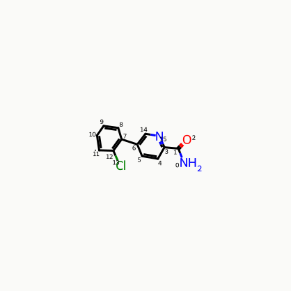 NC(=O)c1ccc(-c2ccc[c]c2Cl)cn1